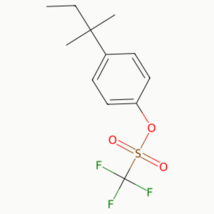 CCC(C)(C)c1ccc(OS(=O)(=O)C(F)(F)F)cc1